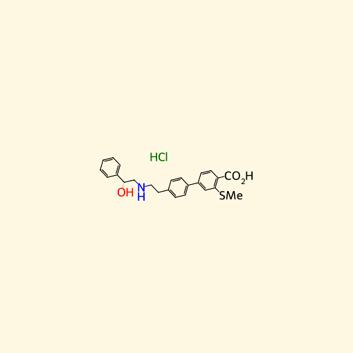 CSc1cc(-c2ccc(CCNC[C@H](O)c3ccccc3)cc2)ccc1C(=O)O.Cl